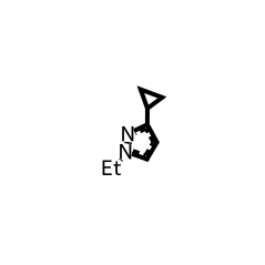 [CH2]Cn1ccc(C2CC2)n1